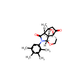 Cc1cc(N2C(=O)[C@H]3[C@H]4[C@@H]2OCC[C@@]42O[C@]3(C)CC2=O)c(C)c(C)c1C